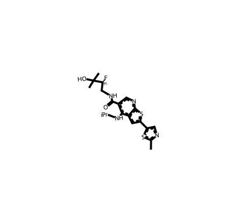 Cc1ncc(-c2cc3c(NC(C)C)c(C(=O)NC[C@@H](F)C(C)(C)O)cnc3s2)s1